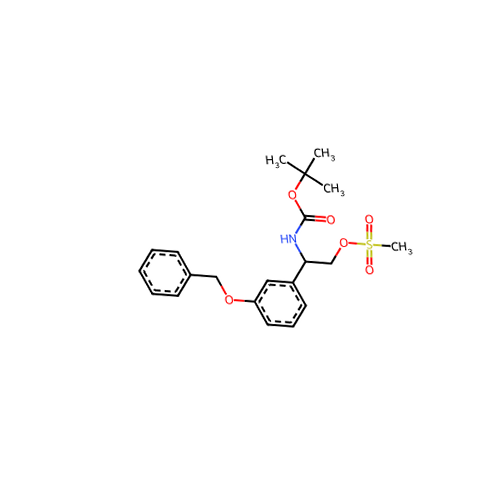 CC(C)(C)OC(=O)NC(COS(C)(=O)=O)c1cccc(OCc2ccccc2)c1